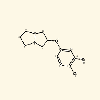 N#Cc1ccc(OC2CC3CCCC3C2)cc1Br